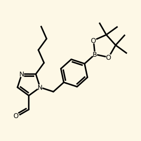 CCCCc1ncc(C=O)n1Cc1ccc(B2OC(C)(C)C(C)(C)O2)cc1